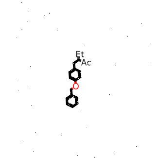 CCC(Cc1ccc(OCc2ccccc2)cc1)C(C)=O